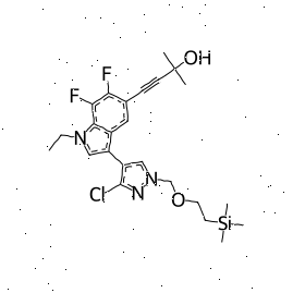 CCn1cc(-c2cn(COCC[Si](C)(C)C)nc2Cl)c2cc(C#CC(C)(C)O)c(F)c(F)c21